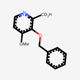 COc1ccnc(C(=O)O)c1OCc1ccccc1